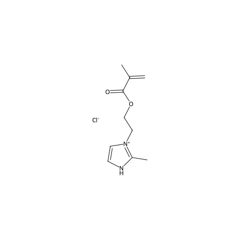 C=C(C)C(=O)OCC[n+]1cc[nH]c1C.[Cl-]